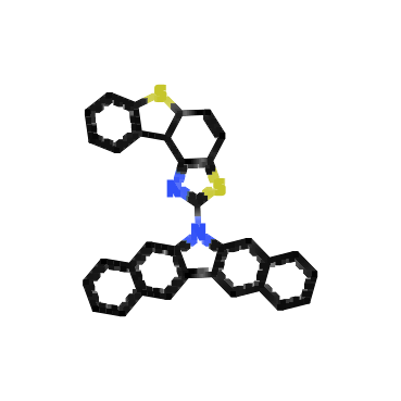 C1=CC2Sc3ccccc3C2c2nc(-n3c4cc5ccccc5cc4c4cc5ccccc5cc43)sc21